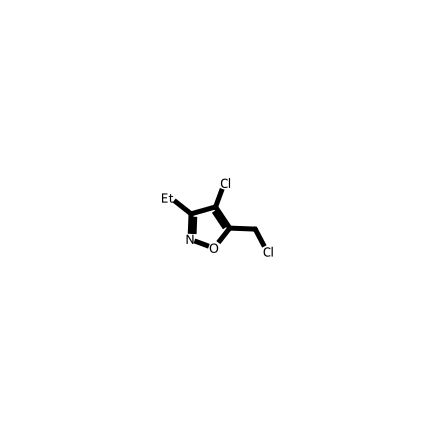 CCc1noc(CCl)c1Cl